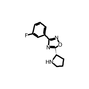 Fc1cccc(-c2noc([C@@H]3CCCN3)n2)c1